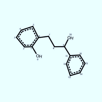 Oc1ccccc1CCC(O)c1ccccc1